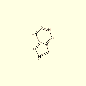 [c]1ncc2cncc-2[nH]1